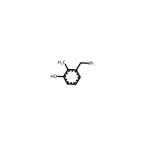 C[C](C)Cc1cccc(O)c1C